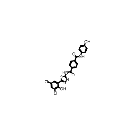 O=C(Nc1ccc(O)cc1)c1ccc(C(=O)Nc2nnc(-c3cc(Cl)cc(Cl)c3O)s2)cc1